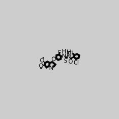 COc1cc2nccc(Oc3ccc(NC(=S)NC(=O)c4c(Cl)cccc4Cl)c(F)c3)c2cc1OC